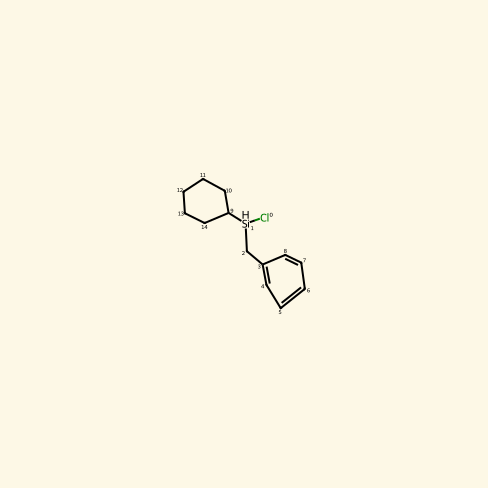 Cl[SiH](Cc1ccccc1)C1CCCCC1